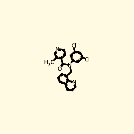 Cc1cnccc1C(=O)N(Cc1cccc2cccnc12)c1cc(Cl)cc(Cl)c1